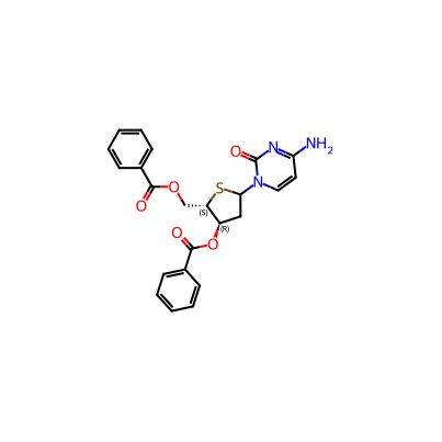 Nc1ccn(C2C[C@@H](OC(=O)c3ccccc3)[C@H](COC(=O)c3ccccc3)S2)c(=O)n1